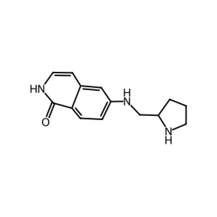 O=c1[nH]ccc2cc(NCC3CCCN3)ccc12